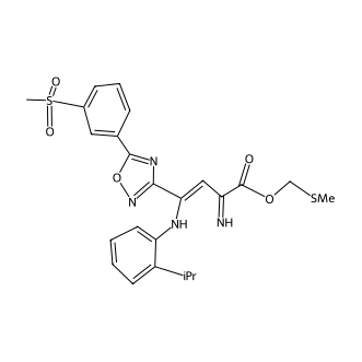 CSCOC(=O)C(=N)/C=C(\Nc1ccccc1C(C)C)c1noc(-c2cccc(S(C)(=O)=O)c2)n1